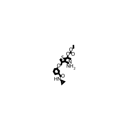 CCOC(=O)Oc1cnc(N)c2c(COc3cccc(C(=O)NC4CC4)c3)csc12